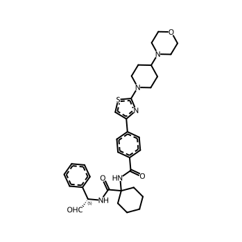 O=C[C@@H](NC(=O)C1(NC(=O)c2ccc(-c3csc(N4CCC(N5CCOCC5)CC4)n3)cc2)CCCCC1)c1ccccc1